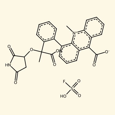 C[n+]1c2ccccc2c(C(=O)[O-])c2cccc(-c3ccccc3C(C)(OC3CC(=O)NC3=O)C(=O)O)c21.O=S(=O)(O)F